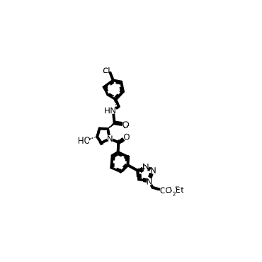 CCOC(=O)Cn1cc(-c2cccc(C(=O)N3C[C@H](O)C[C@H]3C(=O)NCc3ccc(Cl)cc3)c2)nn1